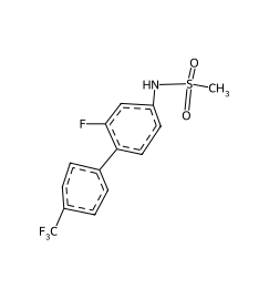 CS(=O)(=O)Nc1ccc(-c2ccc(C(F)(F)F)cc2)c(F)c1